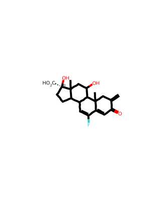 C=C1CC2(C)C(=CC1=O)C(F)=CC1C2C(O)CC2(C)C1CC[C@]2(O)C(=O)O